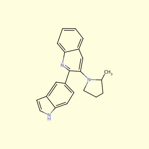 CC1CCCN1c1cc2ccccc2nc1-c1ccc2[nH]ccc2c1